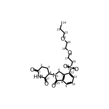 O=C1CCC(N2Cc3c(cccc3S(=O)(=O)CCOCCOCCI)C2=O)C(=O)N1